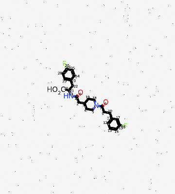 O=C(CC1CCN(C(=O)CCc2cccc(F)c2)CC1)NC(Cc1ccc(F)cc1)C(=O)O